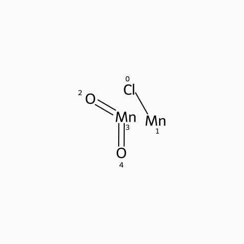 [Cl][Mn].[O]=[Mn]=[O]